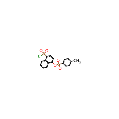 Cc1ccc(S(=O)(=O)Oc2ccc(S(=O)(=O)Cl)c3ccccc23)cc1